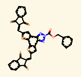 O=C(OCc1ccccc1)n1nc2c3cc(C=C4C(=S)c5ccccc5C4=S)sc3c3sc(C=C4C(=S)c5ccccc5C4=S)cc3c2n1